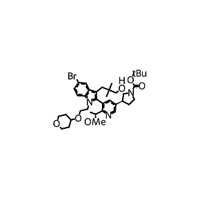 CO[C@@H](C)c1ncc([C@@H]2CCN(C(=O)OC(C)(C)C)C2)cc1-c1c(CC(C)(C)CO)c2cc(Br)ccc2n1CCOC1CCOCC1